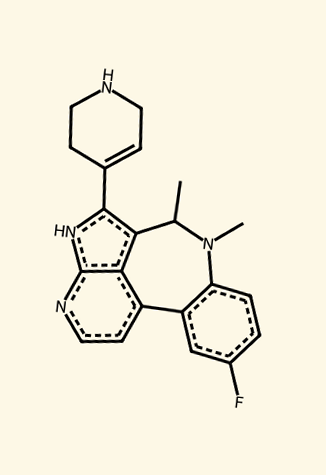 CC1c2c(C3=CCNCC3)[nH]c3nccc(c23)-c2cc(F)ccc2N1C